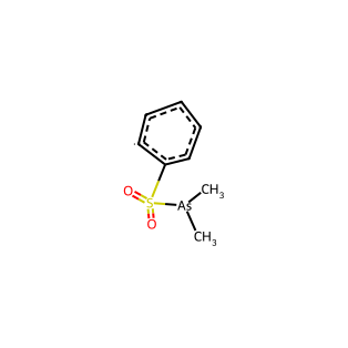 C[As](C)S(=O)(=O)c1[c]cccc1